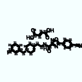 N#Cc1ccc(-c2nc(C(=O)NCCC3CCN(Cc4cccc(F)c4)CC3)no2)cc1.O=C(O)C=CC(=O)O